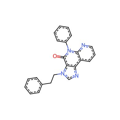 O=c1c2c(ncn2CCc2ccccc2)c2cccnc2n1-c1ccccc1